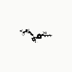 CCCCCC(O)c1ccc(N2C(=O)CC[C@@H]2CCCc2nc(C(=O)OC)cs2)cc1